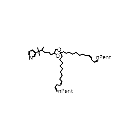 CCCCC/C=C\C/C=C\CCCCCCCCC1(CCCCCCCC/C=C\C/C=C\CCCCC)OCC(CCCC(C)C(C)(C)c2cccnc2)O1